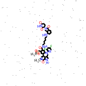 Cn1cc2c3c(c[nH]c3c1=O)CN(c1ncc(F)cc1F)c1cc(C(=O)NCCCCCCNc3cccc4c3CN(C3CCC(=O)NC3=O)C4=O)c(CS(C)(=O)=O)cc1-2